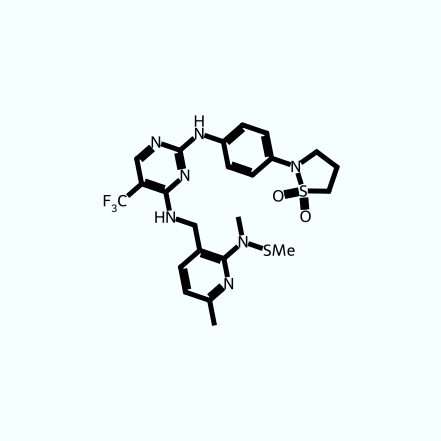 CSN(C)c1nc(C)ccc1CNc1nc(Nc2ccc(N3CCCS3(=O)=O)cc2)ncc1C(F)(F)F